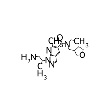 CCN(CC1CCOC1)C(=O)c1cc2cnn(C(C)CN)c2nc1C